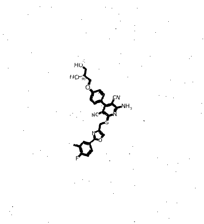 Cc1cc(-c2nc(CSc3nc(N)c(C#N)c(-c4ccc(OC[C@H](O)CO)cc4)c3C#N)co2)ccc1F